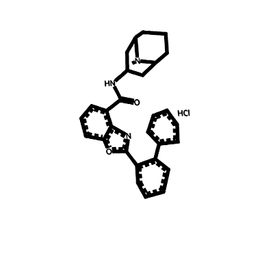 CN1C2CCCC1CC(NC(=O)c1cccc3oc(-c4ccccc4-c4ccccc4)nc13)C2.Cl